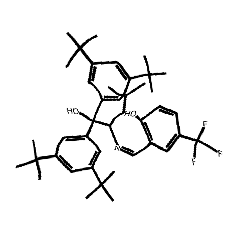 CC(C)CC(N=Cc1cc(C(F)(F)F)ccc1O)C(O)(c1cc(C(C)(C)C)cc(C(C)(C)C)c1)c1cc(C(C)(C)C)cc(C(C)(C)C)c1